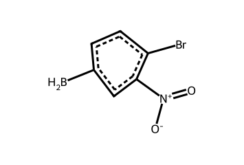 Bc1ccc(Br)c([N+](=O)[O-])c1